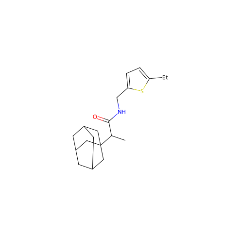 CCc1ccc(CNC(=O)C(C)C23CC4CC(CC(C4)C2)C3)s1